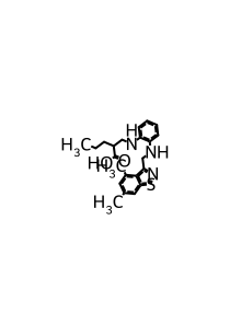 CCCC(CNc1ccccc1NCc1nsc2cc(C)cc(C)c12)C(=O)O